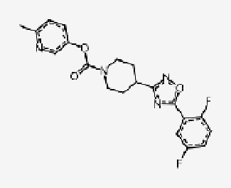 Cc1ccc(OC(=O)N2CCC(c3noc(-c4cc(F)ccc4F)n3)CC2)cn1